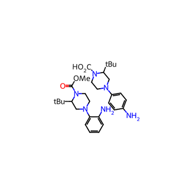 CC(C)(C)C1CN(c2ccc(N)cc2)CCN1C(=O)O.COC(=O)N1CCN(c2ccccc2N)CC1C(C)(C)C